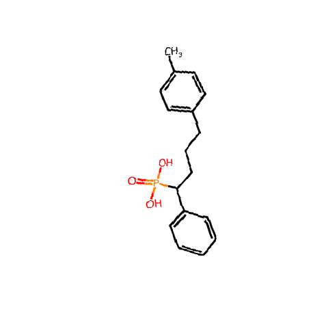 Cc1ccc(CCCC(c2ccccc2)P(=O)(O)O)cc1